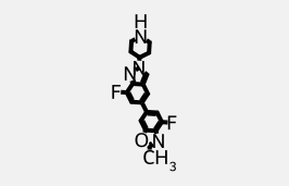 Cc1nc2c(F)cc(-c3cc(F)c4nn(C5CCNCC5)cc4c3)cc2o1